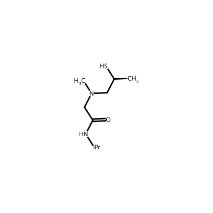 CC(S)CN(C)CC(=O)NC(C)C